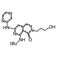 CC(C)(C)Nc1nc(Nc2cnccn2)cc2ccn(CCCO)c(=O)c12